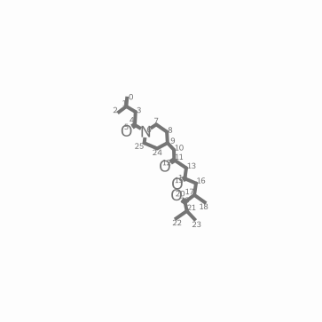 CC(C)CC(=O)N1CCC(CC(=O)CC(=O)CC(C)C(=O)C(C)C)CC1